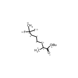 CC(C)COC(=O)C(C)SCCCC(C)(F)F